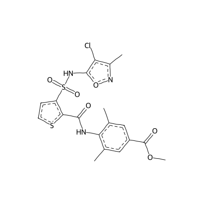 COC(=O)c1cc(C)c(NC(=O)c2sccc2S(=O)(=O)Nc2onc(C)c2Cl)c(C)c1